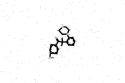 CSc1ccc(C(=O)C(C)(C)c2ccccc2N2CCOCC2)cc1